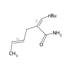 C/C=C/C/C(=C/CCCC)C(N)=O